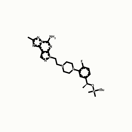 Cc1nc2c3cnn(CCN4CCN(c5cc([C@H](C)O[Si](C)(C)C(C)(C)C)ccc5F)CC4)c3nc(N)n2n1